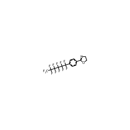 FC(F)(F)C(F)(F)C(F)(F)C(F)(F)C(F)(F)C(F)(F)c1ccc(C2=NCCO2)cc1